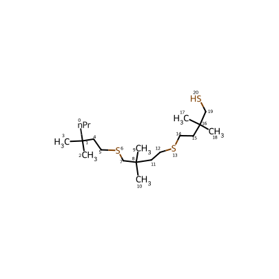 CCCC(C)(C)CCSCC(C)(C)CCSCCC(C)(C)CS